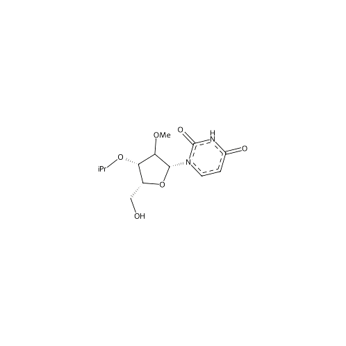 COC1[C@@H](OC(C)C)[C@@H](CO)O[C@H]1n1ccc(=O)[nH]c1=O